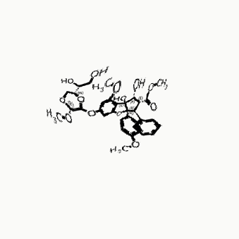 COC(=O)[C@H]1[C@@H](O)[C@@]2(O)c3c(OC)cc(OC4O[C@@H](C(O)CO)CO[C@H]4OC)cc3O[C@@]2(c2ccc(OC)cc2)[C@@H]1c1ccccc1